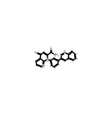 NC(=O)c1cc(=O)c2cccnc2n1-c1cccc(-c2cnc3ccccc3c2)c1